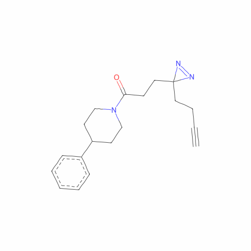 C#CCCC1(CCC(=O)N2CCC(c3ccccc3)CC2)N=N1